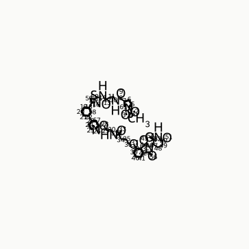 CS(=O)(=O)n1ccc(C(=O)NCC(=O)Nc2nc(-c3cccc(-c4ccnc(OCCNC(=O)CCCOc5cccc6c5C(=O)N(C5CCC(=O)NC5=O)C6=O)c4)c3)cs2)c1